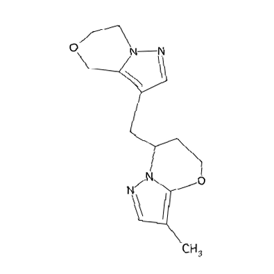 Cc1cnn2c1OCCC2Cc1cnn2c1COCC2